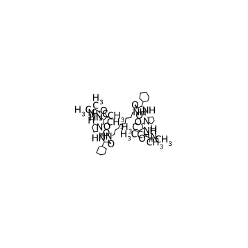 CN[C@@H](C)C(=O)N[C@H](C(=O)N1CCC[C@H]1C(=O)N[C@H](C(=O)NCCCCCCCCNC(=O)[C@@H](NC(=O)[C@@H]1CCCN1C(=O)[C@@H](NC(=O)[C@H](C)NC)C(C)(C)C)C1CCCCC1)C1CCCCC1)C(C)(C)C